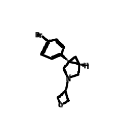 Brc1ccc([C@@]23C[C@@H]2CN(C2COC2)C3)cc1